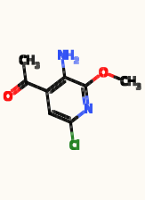 COc1nc(Cl)cc(C(C)=O)c1N